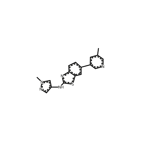 Cc1cncc(-c2ccc3nc(Nc4cnn(C)c4)sc3c2)c1